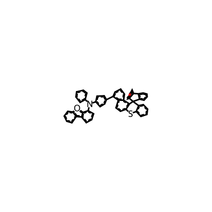 c1ccc(N(c2ccc(-c3cccc4c5c(ccc34)Sc3ccccc3C53c4ccccc4-c4ccccc43)cc2)c2cccc3c2oc2ccccc23)cc1